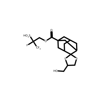 O=C(OCC(F)(C(F)(F)F)S(=O)(=O)O)C12CC3CC(C1)C1(SCC(CO)S1)C(C3)C2